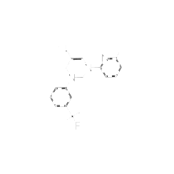 Fc1cccc(N2C=C(Cl)CN(c3cccc(C(F)(F)F)c3)C2)n1